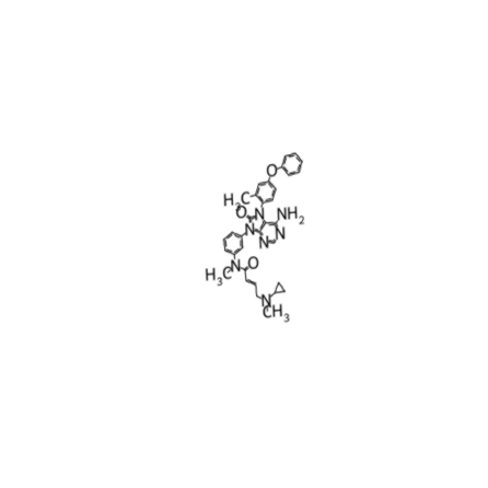 Cc1cc(Oc2ccccc2)ccc1-n1c(=O)n(-c2cccc(N(C)C(=O)C=CCN(C)C3CC3)c2)c2ncnc(N)c21